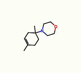 CC1=CCC(C)(N2CCOCC2)CC1